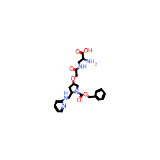 NC(CNC(=O)COC1CC(CNc2ccccn2)N(C(=O)OCc2ccccc2)C1)C(=O)O